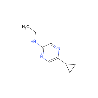 CCNc1cnc(C2CC2)cn1